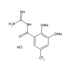 COc1cc(C(F)(F)F)cc(C(=O)NC(=N)N)c1OC.Cl